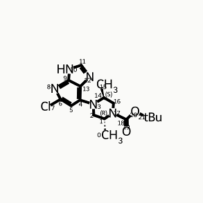 C[C@@H]1CN(c2cc(Cl)nc3[nH]cnc23)[C@@H](C)CN1C(=O)OC(C)(C)C